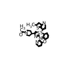 CC(=O)N1CCC(c2csc(Nc3ncccc3Oc3cccc(Sc4ccnc5cc(C)sc45)c3)n2)CC1